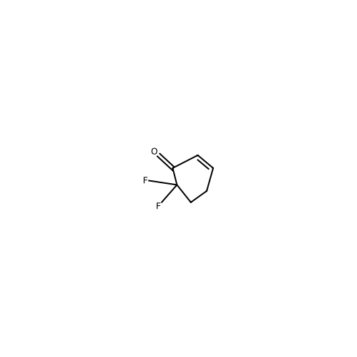 O=C1C=CCCC1(F)F